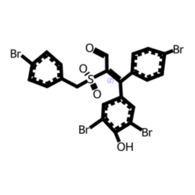 O=C/C(=C(\c1ccc(Br)cc1)c1cc(Br)c(O)c(Br)c1)S(=O)(=O)Cc1ccc(Br)cc1